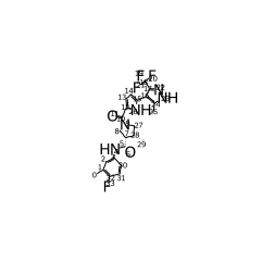 Cc1cc(NC(=O)[C@@H]2CN(C(=O)c3ccc(-c4c(C(F)(F)F)n[nH]c4C)[nH]3)C[C@@H]2C)ccc1F